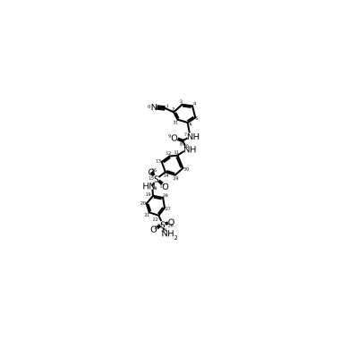 N#Cc1cccc(NC(=O)Nc2ccc(S(=O)(=O)Nc3ccc(S(N)(=O)=O)cc3)cc2)c1